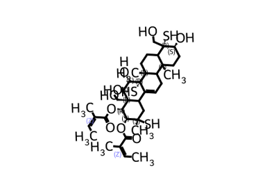 C/C=C(/C)C(=O)O[C@H]1[C@H](OC(=O)/C(C)=C\C)[C@@](C)(S)CC2C3=CCC4[C@@]5(C)CC[C@H](O)[C@](S)(CO)C5CC[C@@]4(C)[C@]3(S)[C@@H](O)[C@@H](O)[C@]21CO